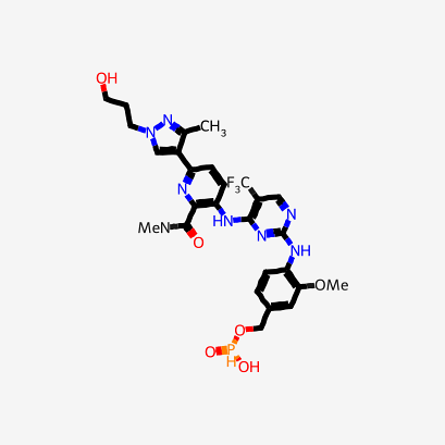 CNC(=O)c1nc(-c2cn(CCCO)nc2C)ccc1Nc1nc(Nc2ccc(CO[PH](=O)O)cc2OC)ncc1C(F)(F)F